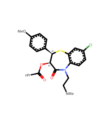 CCCC(=O)O[C@@H]1C(=O)N(CCNC)c2ccc(Cl)cc2S[C@@H]1c1ccc(OC)cc1